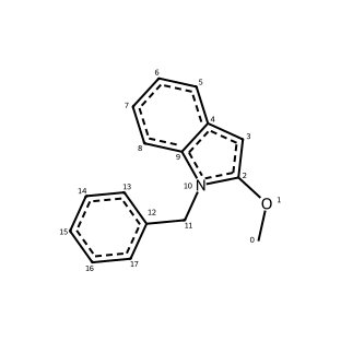 COc1cc2ccccc2n1Cc1ccccc1